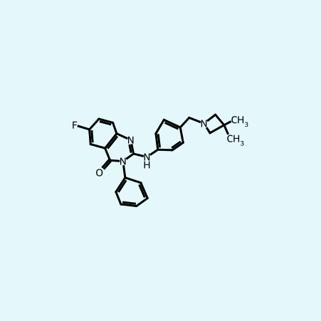 CC1(C)CN(Cc2ccc(Nc3nc4ccc(F)cc4c(=O)n3-c3ccccc3)cc2)C1